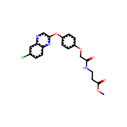 COC(=O)CCNC(=O)COc1ccc(Oc2cnc3cc(Cl)ccc3n2)cc1